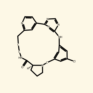 O=C1NCCCc2cc(ccn2)-c2ncnc(n2)Nc2cc(Cl)cc(c2)CN2CCC[C@@H]12